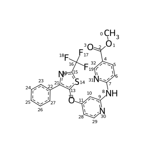 COC(=O)c1ccc(Nc2cc(Oc3sc(C(F)(F)F)nc3-c3ccccc3)ccn2)nc1